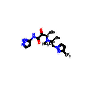 CCCC[C@@H](C(=O)C(=O)Nc1ccn[nH]1)N(C(=O)O)[C@H](Cn1ccc(C(F)(F)F)n1)C(C)(C)C